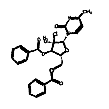 Cc1ccn([C@@H]2O[C@H](COC(=O)c3ccccc3)[C@@H](OC(=O)c3ccccc3)[C@@]2(C)Cl)c(=O)n1